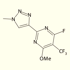 COc1nc(-c2cn(C)nn2)nc(F)c1C(F)(F)F